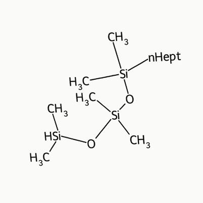 CCCCCCC[Si](C)(C)O[Si](C)(C)O[SiH](C)C